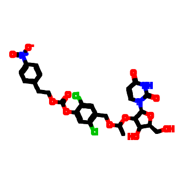 CC(OCc1cc(Cl)c(OC(=O)OCCc2ccc([N+](=O)[O-])cc2)cc1Cl)OC1C(O)[C@H](CO)O[C@@H]1n1ccc(=O)[nH]c1=O